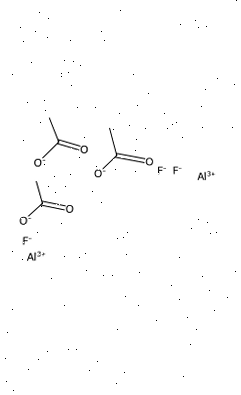 CC(=O)[O-].CC(=O)[O-].CC(=O)[O-].[Al+3].[Al+3].[F-].[F-].[F-]